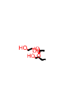 CC(=O)O.CCCCO.OCCO